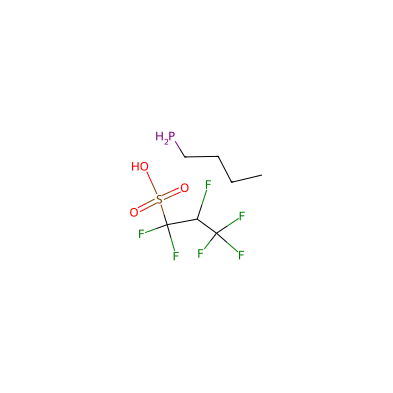 CCCCP.O=S(=O)(O)C(F)(F)C(F)C(F)(F)F